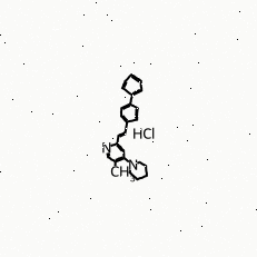 Cc1cnc(C=Cc2ccc(-c3ccccc3)cc2)cc1N1CCCCC1.Cl